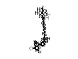 CNC(=O)C(O)C(O)C(=O)NCCOCCOCCOCCNS(=O)(=O)c1cccc(C2CN(C)Cc3c(Cl)cc(Cl)cc32)c1